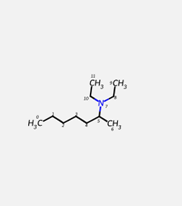 CCCCCC(C)N(CC)CC